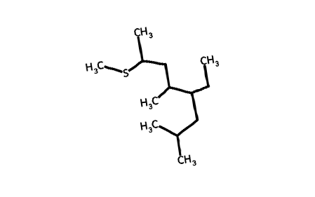 CCC(CC(C)C)C(C)CC(C)SC